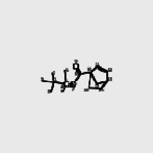 C[C](C)(C)[Ge]([CH3])([CH3])[O]C(=O)C12C=CC(CC1)C2